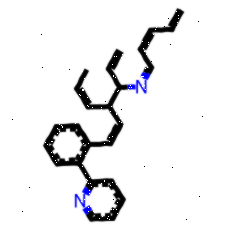 C=C/C=C\C=N/C(C=C)C(/C=C\C)/C=C\c1ccccc1-c1ccccn1